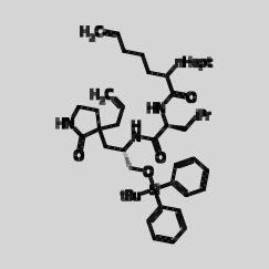 C=CCCCC(CCCCCCC)C(=O)N[C@@H](CC(C)C)C(=O)N[C@H](CO[Si](c1ccccc1)(c1ccccc1)C(C)(C)C)CC1(CC=C)CCNC1=O